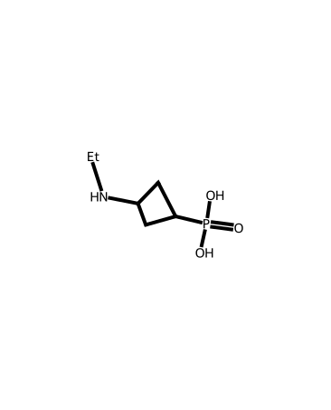 CCNC1CC(P(=O)(O)O)C1